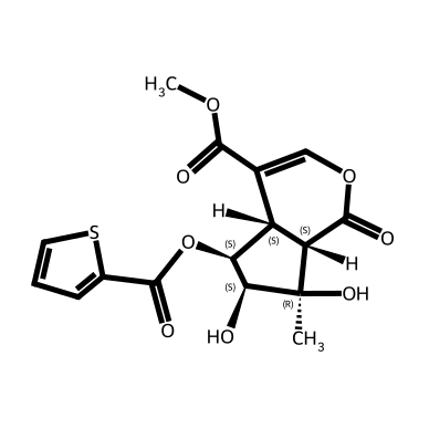 COC(=O)C1=COC(=O)[C@H]2[C@@H]1[C@H](OC(=O)c1cccs1)[C@H](O)[C@]2(C)O